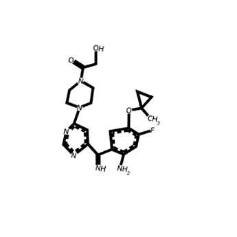 CC1(Oc2cc(C(=N)c3cc(N4CCN(C(=O)CO)CC4)ncn3)c(N)cc2F)CC1